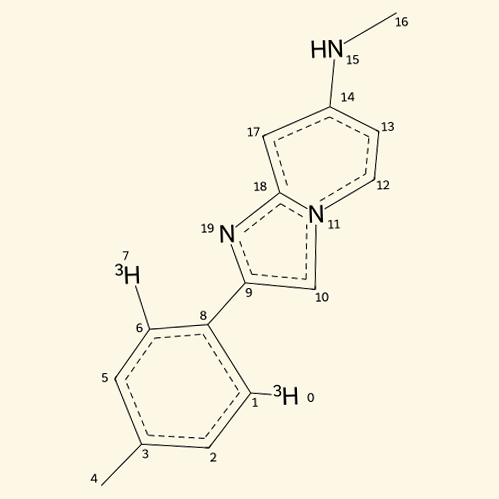 [3H]c1cc(C)cc([3H])c1-c1cn2ccc(NC)cc2n1